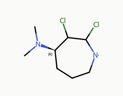 CN(C)[C@@H]1CCC[N]C(Cl)C1Cl